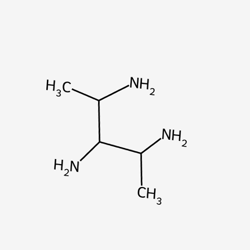 CC(N)C(N)C(C)N